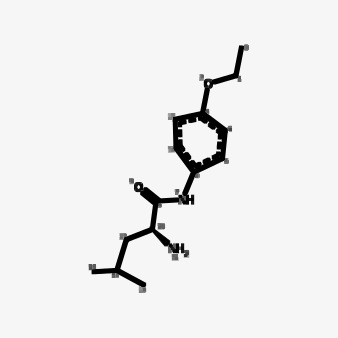 CCOc1ccc(NC(=O)[C@@H](N)CC(C)C)cc1